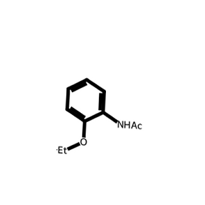 C[CH]Oc1ccccc1NC(C)=O